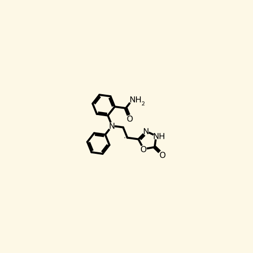 NC(=O)c1ccccc1N(C[CH]c1n[nH]c(=O)o1)c1ccccc1